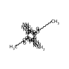 CCCCCCCCCCCC(=O)OCOP1(=O)OC[C@H]2O[C@@H](n3cnc4c(N)ncnc43)[C@H](F)[C@@H]2OP(=O)(OCOC(=O)CCCCCC)CC[C@H]2O[C@@H](n3cnc4c(N)ncnc43)[C@H](F)[C@@H]2O1